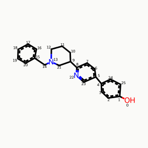 Oc1ccc(-c2ccc(C3CCCN(Cc4ccccc4)C3)nc2)cc1